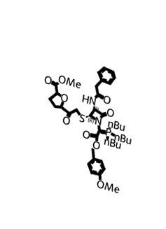 CCCCP(CCCC)(CCCC)=C(C(=O)OCc1ccc(OC)cc1)N1C(=O)[C@@H](NC(=O)Cc2ccccc2)[C@H]1SCC(=O)C1CCC(C(=O)OC)O1